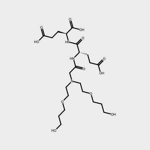 O=C(O)CC[C@H](NC(=O)[C@H](CCC(=O)O)NC(=O)CN(CCOCCCO)CCOCCCO)C(=O)O